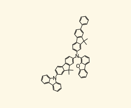 CC1(C)c2cc(-c3ccccc3)ccc2-c2ccc(N(c3ccc4c(c3)C(C)(C)c3cc(-n5c6ccccc6c6ccccc65)ccc3-4)c3cccc4c3oc3ccccc34)cc21